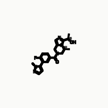 C[C@@H](O)c1ncc2n1[C@@H](C)CN(C(=O)c1ccc(F)c(-c3ccnn3C)c1)C2